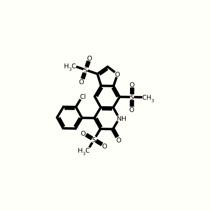 CS(=O)(=O)c1c(-c2ccccc2Cl)c2cc3c(S(C)(=O)=O)coc3c(S(C)(=O)=O)c2[nH]c1=O